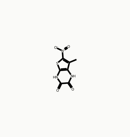 Cc1c([N+](=O)[O-])sc2[nH]c(=O)c(=O)[nH]c12